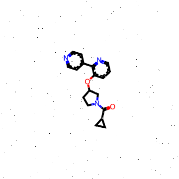 O=C(C1CC1)N1CCC(Oc2cccnc2-c2ccncc2)C1